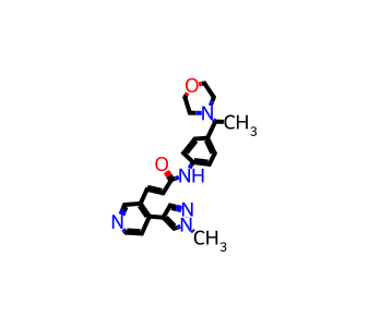 CC(c1ccc(NC(=O)C=Cc2cnccc2-c2cnn(C)c2)cc1)N1CCOCC1